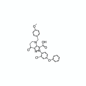 COc1ccc(CN2CCC(=O)c3nn(-c4ccc(Oc5ccccc5)cc4Cl)c(C(=O)O)c32)cc1